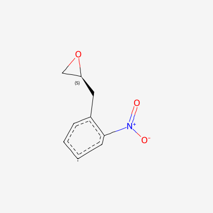 O=[N+]([O-])c1c[c]ccc1C[C@H]1CO1